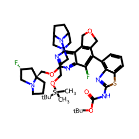 CC(C)(C)OC(=O)Nc1nc2c(-c3c4c(c5c(N6C7CCC6CN(CCCO[Si](C)(C)C(C)(C)C)C7)nc(OC[C@@]67CCCN6C[C@H](F)C7)nc5c3F)COC4)cccc2s1